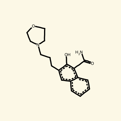 NC(=O)c1c(O)c(CCCN2CCOCC2)cc2ccccc12